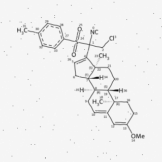 [C-]#[N+]C(CCl)(C1=CC[C@H]2[C@@H]3CC=C4C=C(OC)CC[C@]4(C)[C@H]3CC[C@]12C)S(=O)(=O)c1ccc(C)cc1